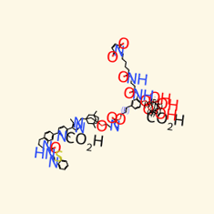 Cc1c(-c2ccc(-c3ccc4c(c3)N(C(=O)Nc3nc5ccccc5s3)CCC4)nc2C(=O)O)cnn1CC12CC3(C)CC(C)(C1)C(OCCN(C)C(=O)OC/C=C/c1ccc(O[C@@H]4O[C@H](C(=O)O)[C@@H](O)[C@H](O)[C@H]4O)c(NC(=O)CCNC(=O)CCCCCN4C(=O)C=CC4=O)c1)(C3)C2